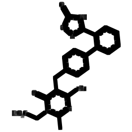 CCCCc1nc(C)n(CC(=O)OCC)c(=O)c1Cc1ccc(-c2ccccc2-c2noc(=O)[nH]2)cc1